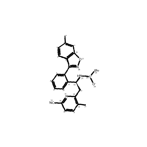 Cc1ccc2c(-c3ccccc3[C@H](Cc3nc(C#N)ccc3C)N[S+]([O-])C(C)(C)C)noc2c1